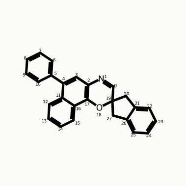 C1=Nc2cc(-c3ccccc3)c3ccccc3c2OC12Cc1ccccc1C2